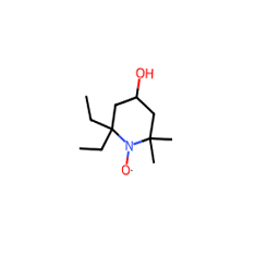 CCC1(CC)CC(O)CC(C)(C)N1[O]